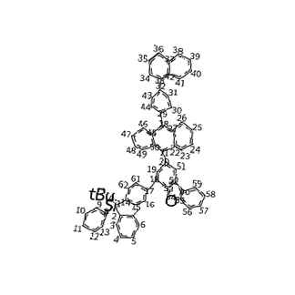 CC(C)(C)[Si](c1ccccc1)(c1ccccc1)c1ccc(-c2cc(-c3c4ccccc4c(-c4ccc(-c5cccc6ccccc56)cc4)c4ccccc34)cc3c2oc2ccccc23)cc1